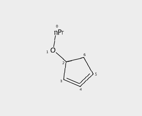 CCCOC1C=C=CC1